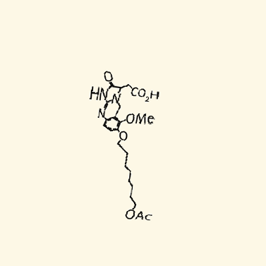 COc1c(OCCCCCCCCOC(C)=O)ccc2c1CN1C(=N2)NC(=O)C1CC(=O)O